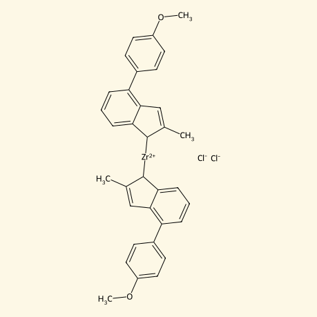 COc1ccc(-c2cccc3c2C=C(C)[CH]3[Zr+2][CH]2C(C)=Cc3c(-c4ccc(OC)cc4)cccc32)cc1.[Cl-].[Cl-]